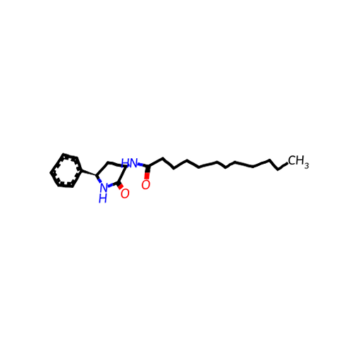 CCCCCCCCCCCC(=O)N[C@@H]1C[C@H](c2ccccc2)NC1=O